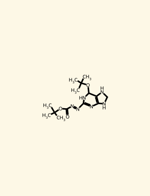 CC(C)(C)OC(=O)N=NC1=NC2=C(NCN2)C(OC(C)(C)C)N1